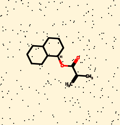 C=C(C)C(=O)O[C@@H]1CCCC2CCCCC21